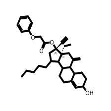 C#C[C@]1(OC(=O)COc2ccccc2)CC(CCCCC)C2C3CCC4=CC(O)CCC4C3C(=C)C[C@@]21CC